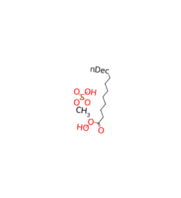 CCCCCCCCCCCCCCCCCC(=O)OO.COS(=O)(=O)O